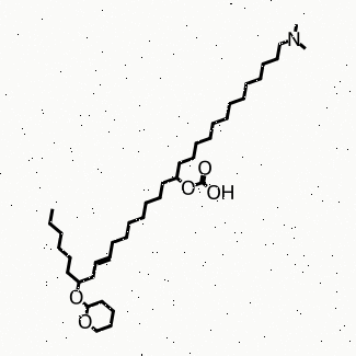 CCCCCCC(CC=CCCCCCCCC(CCCCCCCCCCCCCN(C)C)OC(=O)O)OC1CCCCO1